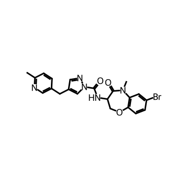 Cc1ccc(Cc2cnn(C(=O)NC3COc4ccc(Br)cc4N(C)C3=O)c2)cn1